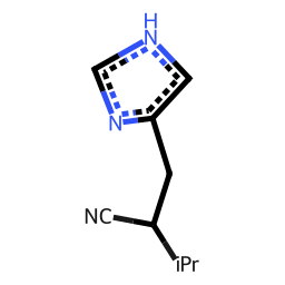 CC(C)C(C#N)Cc1c[nH]cn1